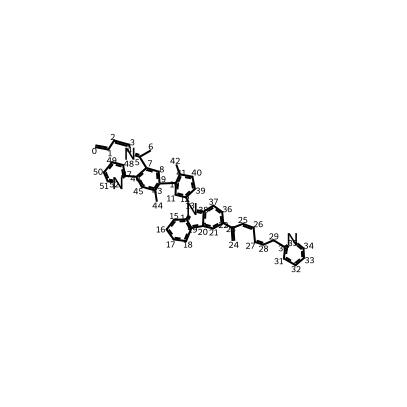 C=C/C=C\N=C(/C)c1cc(-c2cc(-n3c4ccccc4c4cc(C(=C)/C=C\C=C/Cc5ccccn5)ccc43)ccc2C)c(C)cc1-c1ccccn1